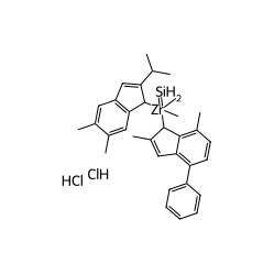 CC1=Cc2c(-c3ccccc3)ccc(C)c2[CH]1[Zr]([CH3])([CH3])(=[SiH2])[CH]1C(C(C)C)=Cc2cc(C)c(C)cc21.Cl.Cl